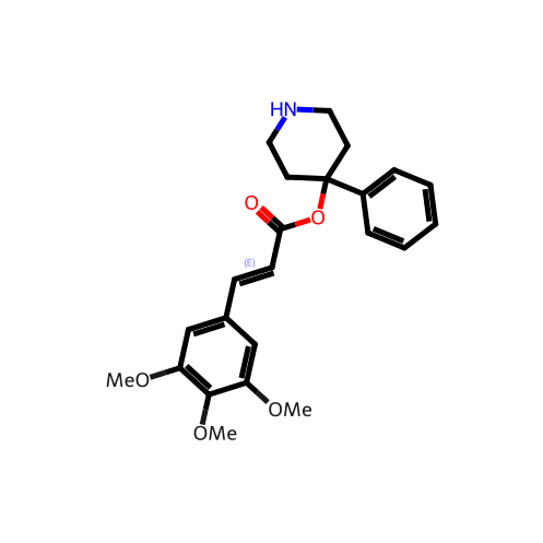 COc1cc(/C=C/C(=O)OC2(c3ccccc3)CCNCC2)cc(OC)c1OC